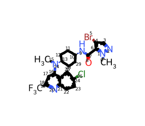 Cn1ncc(Br)c1C(=O)N[C@H]1CC[C@@H](N(C)c2cc(C(F)(F)F)nc3ccc(Cl)cc23)CC1